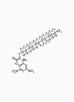 CCC(C)c1cc([N+](=O)[O-])cc([N+](=O)[O-])c1OC(=O)OCC(F)(F)C(F)(F)C(F)(F)C(F)(F)C(F)(F)C(F)(F)C(F)(F)C(F)(F)C(F)(F)C(F)(F)C(F)(F)C(F)(F)F